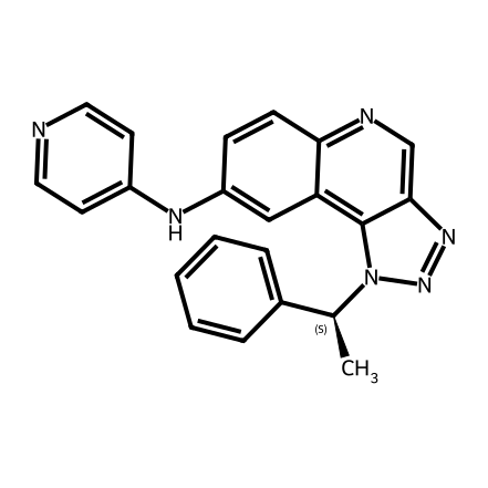 C[C@@H](c1ccccc1)n1nnc2cnc3ccc(Nc4ccncc4)cc3c21